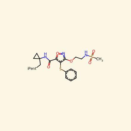 CCCC(C)CC1(NC(=O)c2onc(OCCNS(C)(=O)=O)c2Sc2ccccc2)CC1